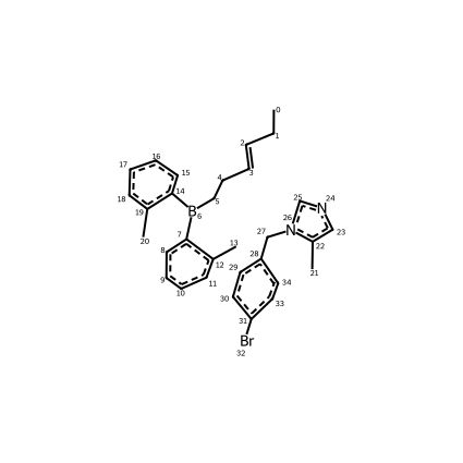 CCC=CCCB(c1ccccc1C)c1ccccc1C.Cc1cncn1Cc1ccc(Br)cc1